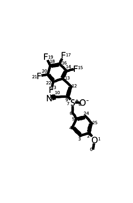 COc1ccc(C[S+]([O-])/C(C#N)=C/c2c(F)c(F)c(F)c(F)c2F)cc1